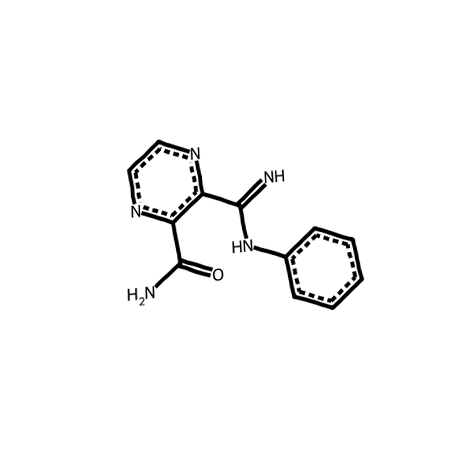 N=C(Nc1ccccc1)c1nccnc1C(N)=O